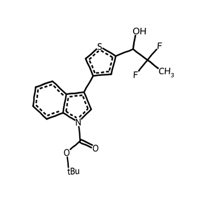 CC(C)(C)OC(=O)n1cc(-c2csc(C(O)C(C)(F)F)c2)c2ccccc21